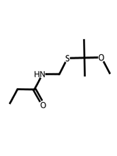 CCC(=O)NCSC(C)(C)OC